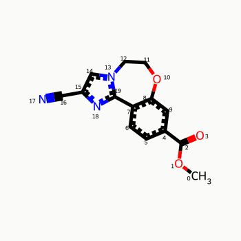 COC(=O)c1ccc2c(c1)OCCn1cc(C#N)nc1-2